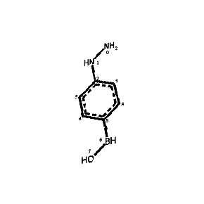 NNc1ccc(BO)cc1